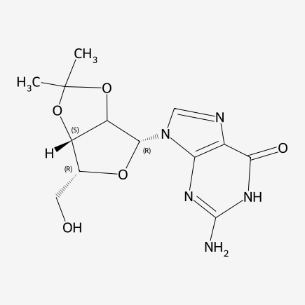 CC1(C)OC2[C@@H](O1)[C@@H](CO)O[C@H]2n1cnc2c(=O)[nH]c(N)nc21